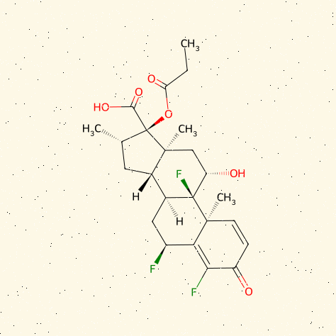 CCC(=O)O[C@]1(C(=O)O)[C@@H](C)C[C@H]2[C@@H]3C[C@H](F)C4=C(F)C(=O)C=C[C@]4(C)[C@@]3(F)[C@@H](O)C[C@@]21C